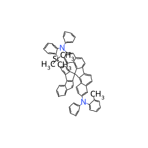 Cc1ccccc1N(c1ccccc1)c1ccc2c3c(ccc2c1)-c1ccc2cc(N(c4ccccc4)c4ccccc4[Si](C)(C)C)ccc2c1C31c2ccccc2-c2c1ccc1ccccc21